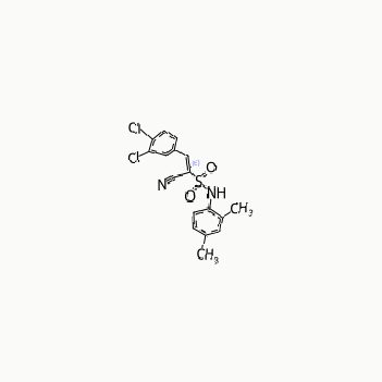 Cc1ccc(NS(=O)(=O)/C(C#N)=C/c2ccc(Cl)c(Cl)c2)c(C)c1